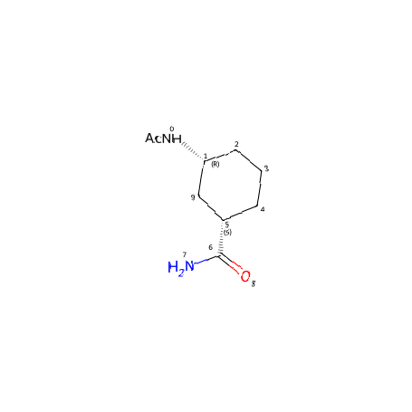 CC(=O)N[C@@H]1CCC[C@H](C(N)=O)C1